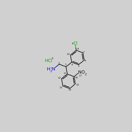 Cl.NCC(c1cccc(Cl)c1)c1ccccc1[N+](=O)[O-]